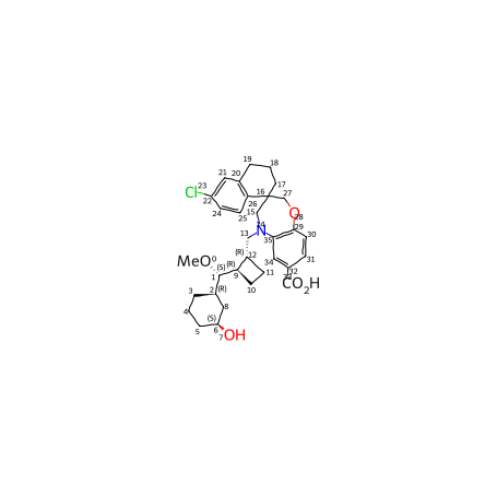 CO[C@@H]([C@@H]1CCC[C@H](O)C1)[C@@H]1CC[C@H]1CN1CC2(CCCc3cc(Cl)ccc32)COc2ccc(C(=O)O)cc21